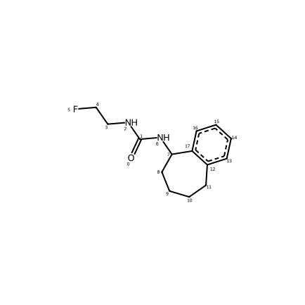 O=C(NCCF)NC1CCCCc2ccccc21